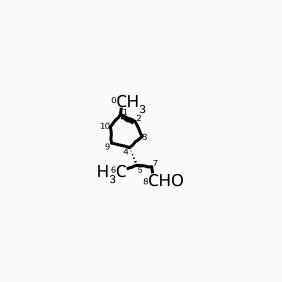 CC1=CC[C@H](C(C)CC=O)CC1